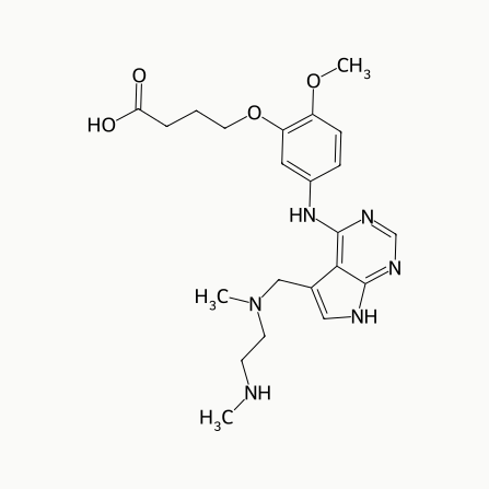 CNCCN(C)Cc1c[nH]c2ncnc(Nc3ccc(OC)c(OCCCC(=O)O)c3)c12